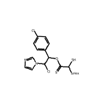 CCCCCCC(S)C(=S)OC(c1ccc(Cl)cc1)C(Cl)n1ccnc1